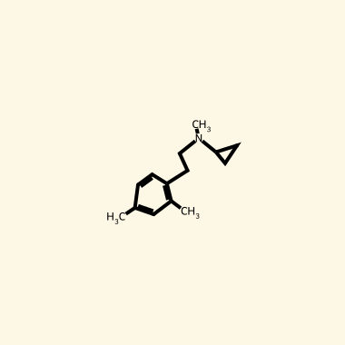 Cc1ccc(CCN(C)C2CC2)c(C)c1